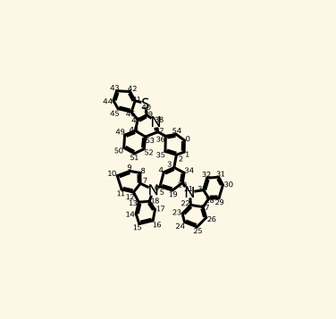 c1cc(-c2cc(-n3c4ccccc4c4ccccc43)cc(-n3c4ccccc4c4ccccc43)c2)cc(-c2nc3sc4ccccc4c3c3ccccc23)c1